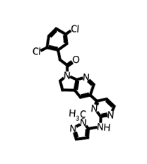 Cn1nccc1Nc1nccc(-c2cnc3c(c2)CCN3C(=O)Cc2cc(Cl)ccc2Cl)n1